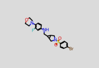 O=S(=O)(c1ccc(Br)cc1)N1CC2C(CNc3ccc(N4CCOCC4)c(F)c3)C2C1